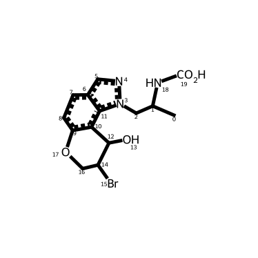 CC(Cn1ncc2ccc3c(c21)C(O)C(Br)CO3)NC(=O)O